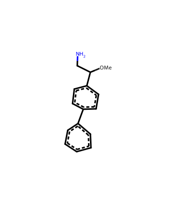 COC(CN)c1ccc(-c2ccccc2)cc1